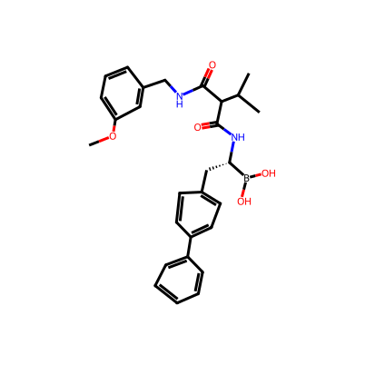 COc1cccc(CNC(=O)C(C(=O)N[C@@H](Cc2ccc(-c3ccccc3)cc2)B(O)O)C(C)C)c1